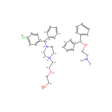 CN(C)CCOC(c1ccccc1)c1ccccc1.OCCOCCN1CCN(C(c2ccccc2)c2ccc(Cl)cc2)CC1